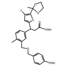 COC(=O)CC(c1ccc(C)c(COCc2ccc(OC)cc2)c1)c1cc(F)c(C2(C)OCCO2)s1